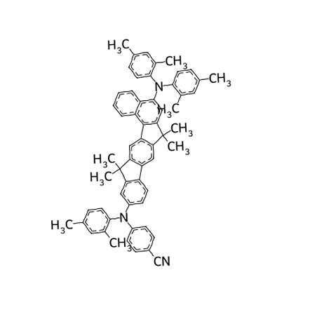 Cc1ccc(N(c2ccc(C#N)cc2)c2ccc3c(c2)C(C)(C)c2cc4c(cc2-3)C(C)(C)c2cc(N(c3ccc(C)cc3C)c3ccc(C)cc3C)c3ccccc3c2-4)c(C)c1